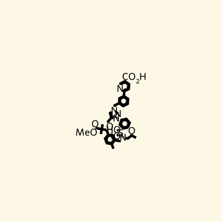 COC(=O)C(C)(C)C(OCc1cn(Cc2cccc(-c3ccc(C(=O)O)cn3)c2)nn1)c1ccc(C)c(CN2CC(C)Oc3ccccc3S2(O)O)c1